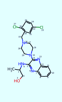 CC(CO)Nc1nc2ccccc2nc1N1CCN(Cc2cc(Cl)ccc2Cl)CC1